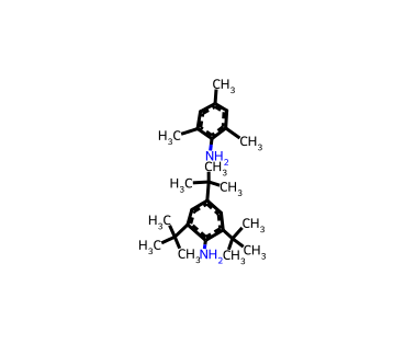 CC(C)(C)c1cc(C(C)(C)C)c(N)c(C(C)(C)C)c1.Cc1cc(C)c(N)c(C)c1